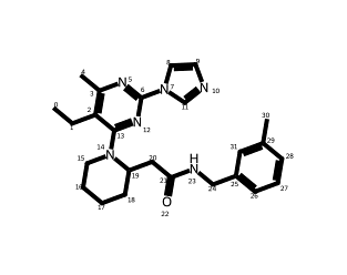 CCc1c(C)nc(-n2ccnc2)nc1N1CCCCC1CC(=O)NCc1cccc(C)c1